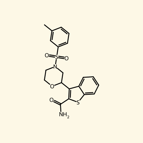 Cc1cccc(S(=O)(=O)N2CCOC(c3c(C(N)=O)sc4ccccc34)C2)c1